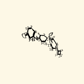 O=C([C@H]1CC[C@H](Nc2cccc(Cl)c2)CC1)N1CCN(C2CCC2)CC1